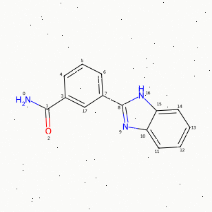 NC(=O)c1cccc(-c2nc3ccccc3[nH]2)c1